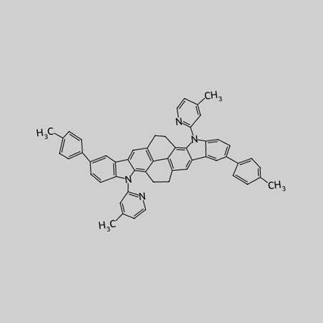 Cc1ccc(-c2ccc3c(c2)c2cc4c5c(c2n3-c2cc(C)ccn2)CCc2cc3c6cc(-c7ccc(C)cc7)ccc6n(-c6cc(C)ccn6)c3c(c2-5)CC4)cc1